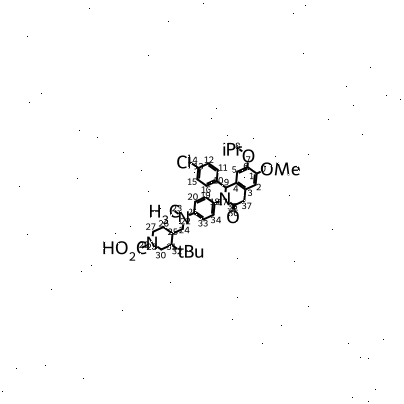 COc1cc2c(cc1OC(C)C)C(c1ccc(Cl)cc1)N(c1ccc(N(C)CC3CCN(C(=O)O)CC3C(C)(C)C)cc1)C(=O)C2